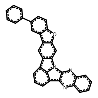 c1ccc(-c2ccc3oc4cc5c(cc4c3c2)c2cccc3c4nc6ccccc6nc4n5c23)cc1